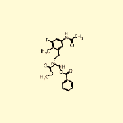 COC(=O)[C@H](CCc1cc(NC(C)=O)cc(F)c1C)NOC(=O)c1ccccc1